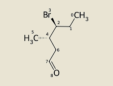 CC[C@H](Br)[C@@H](C)CC=O